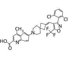 Cc1cc(C(=O)O)nc2ccc(N3CCC4(CC3)CC(=Cc3c(-c5c(Cl)cccc5Cl)noc3C(F)(F)F)C4)cc12